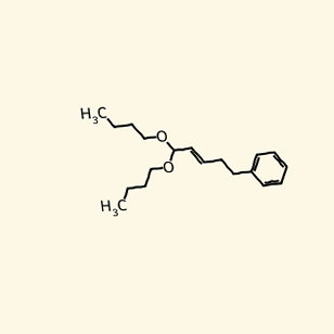 CCCCOC(/C=C/CCc1ccccc1)OCCCC